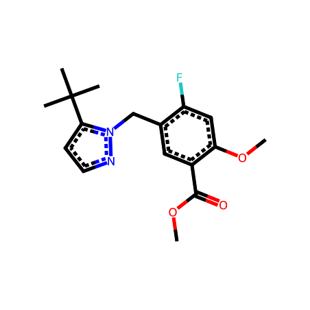 COC(=O)c1cc(Cn2nccc2C(C)(C)C)c(F)cc1OC